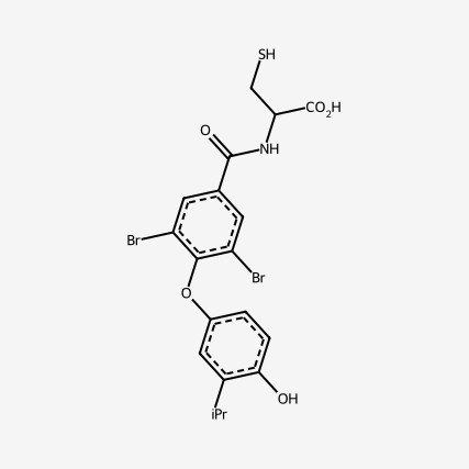 CC(C)c1cc(Oc2c(Br)cc(C(=O)NC(CS)C(=O)O)cc2Br)ccc1O